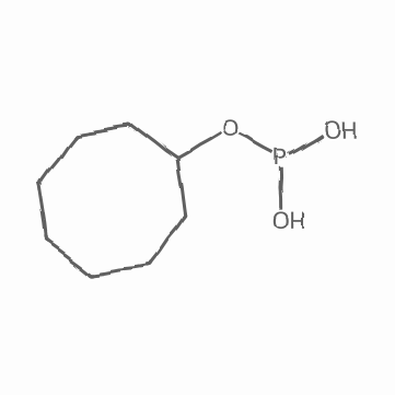 OP(O)OC1CCCCCCC1